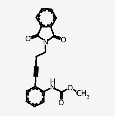 COC(=O)Nc1ccccc1C#CCCN1C(=O)c2ccccc2C1=O